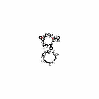 CC1=C/C(O)CC(=O)Cc2nc(co2)C(=O)N2CCC=C2C(=O)OC(C(C)C)C(C)/C=C\C(=O)NC/C=C\1.CCC1NC(=O)C(NC(=O)c2ncccc2O)C(C)OC(=O)C(c2ccccc2)NC(=O)C2CC(=O)CCN2C(=O)C(Cc2ccccc2)N(C)C(=O)C2CCCN2C1=O